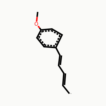 [CH2]C=CC=Cc1ccc(OC)cc1